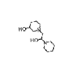 OC1CCCN(CC(O)N2CCCCC2)C1